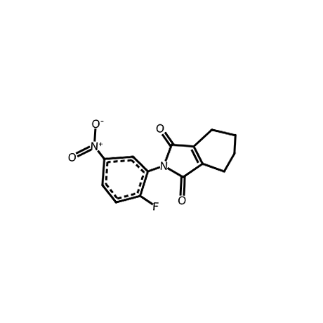 O=C1C2=C(CCCC2)C(=O)N1c1cc([N+](=O)[O-])ccc1F